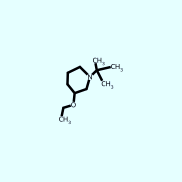 CCOC1CCCN(C(C)(C)C)C1